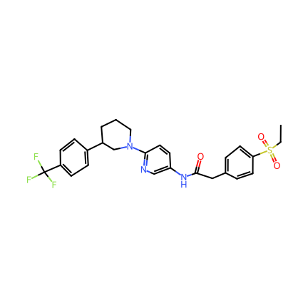 CCS(=O)(=O)c1ccc(CC(=O)Nc2ccc(N3CCCC(c4ccc(C(F)(F)F)cc4)C3)nc2)cc1